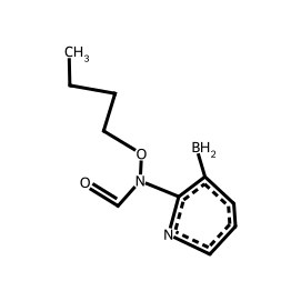 Bc1cccnc1N(C=O)OCCCC